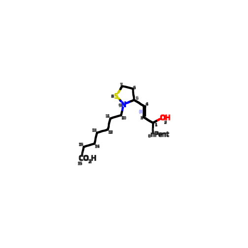 CCCCCC(O)/C=C/C1CCSN1CCCCCCC(=O)O